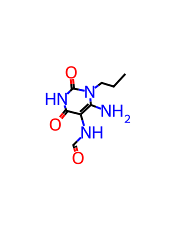 CCCn1c(N)c(NC=O)c(=O)[nH]c1=O